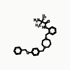 CC(C)(N)C(=O)Nc1ccccc1CN1CCCN(Cc2ccc(OCc3ccccc3)cc2)CC1